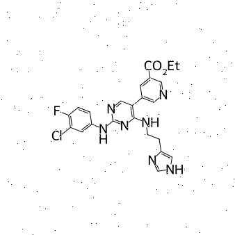 CCOC(=O)c1cncc(-c2cnc(Nc3ccc(F)c(Cl)c3)nc2NCCc2c[nH]cn2)c1